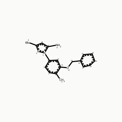 Cc1ccc(-n2nc(C(C)(C)C)cc2N)cc1OCc1ccccc1